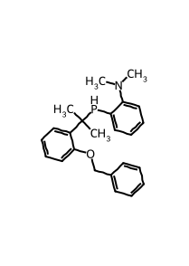 CN(C)c1ccccc1PC(C)(C)c1ccccc1OCc1ccccc1